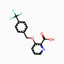 O=C(O)c1ncccc1OCc1ccc(C(F)(F)F)cc1